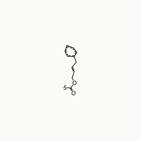 O=C([S])OCC=CCc1ccccc1